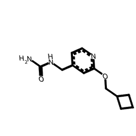 NC(=O)NCc1ccnc(OCC2CCC2)c1